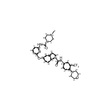 CN1CCN(C(=O)Nc2ccnc(Oc3ccc4c(ccn4C(=O)Nc4ccc(N5CCOCC5)c(C(F)(F)F)c4)c3)n2)CC1